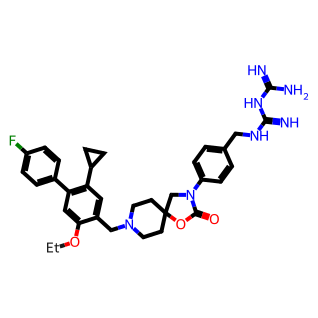 CCOc1cc(-c2ccc(F)cc2)c(C2CC2)cc1CN1CCC2(CC1)CN(c1ccc(CNC(=N)NC(=N)N)cc1)C(=O)O2